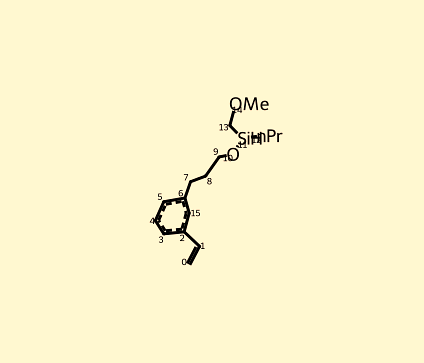 C=Cc1cccc(CCCO[SiH](CCC)COC)c1